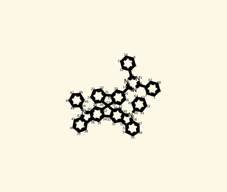 c1ccc(-c2nc(-c3ccccc3)nc(-c3ccc4c(c3)-c3ccccc3C43c4cc5c(cc4-c4cc6c7ccccc7n(-c7ccccc7)c6cc43)c3ccccc3n5-c3ccccc3)n2)cc1